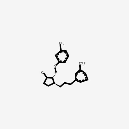 O=C(O)c1cccc(CCC[C@H]2CCC(Cl)[C@@H]2COc2cccc(C(F)(F)F)c2)c1